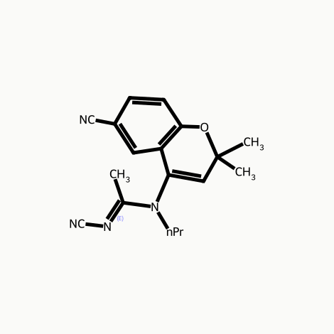 CCCN(C1=CC(C)(C)Oc2ccc(C#N)cc21)/C(C)=N/C#N